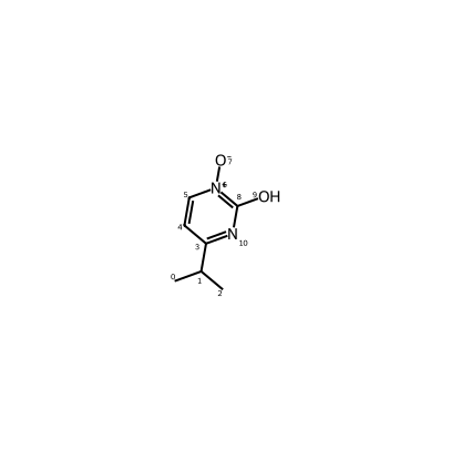 CC(C)c1cc[n+]([O-])c(O)n1